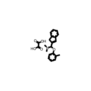 Cc1ccccc1OC(C1=Cc2ccccc2C1)N(C)C.O=C(O)C(=O)O